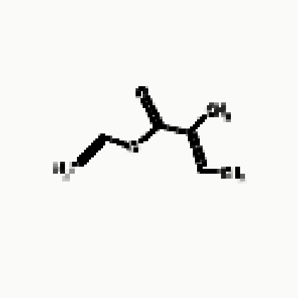 C=COC(=O)C(C)=CC